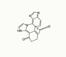 O=C1CC2=C3C(=C4NC=CN4C4=C5N=CN=C5C=CC34C1)C(=O)CC2